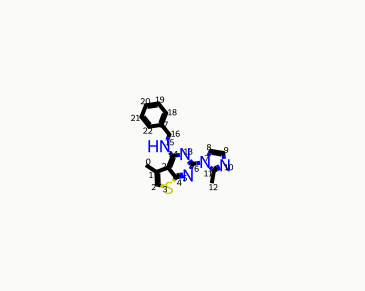 Cc1csc2nc(-n3ccnc3C)nc(NCc3ccccc3)c12